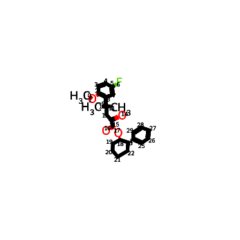 COc1ccc(F)cc1C(C)(C)CC(=O)C(=O)O[C@@H]1CCCC[C@H]1c1ccccc1